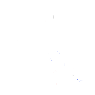 COc1ccc(-c2nc(NC(=O)c3c(O)cc(C)[nH]c3=O)nn2-c2ccc(OC)cc2)cc1